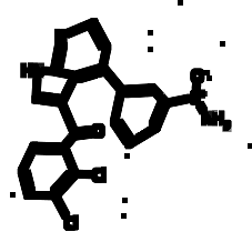 N[S+]([O-])c1cccc(-c2ccnc3[nH]cc(C(=O)c4cccc(Cl)c4Cl)c23)c1